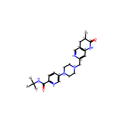 [2H]C([2H])([2H])NC(=O)c1ccc(N2CCN(Cc3cc4c(cn3)CC(CC)C(=O)N4)CC2)cn1